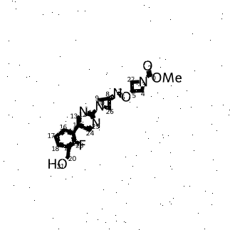 COC(=O)N1CC(ON=C2CN(c3ncc(-c4cccc(CO)c4F)cn3)C2)C1